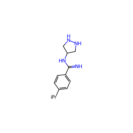 CC(C)c1ccc(C(=N)NC2CNNC2)cc1